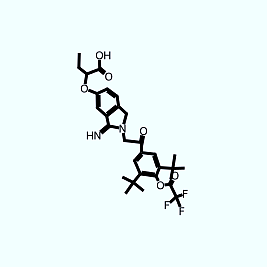 CCC(Oc1ccc2c(c1)C(=N)N(CC(=O)c1cc(C(C)(C)C)c(OC(=O)C(F)(F)F)c(C(C)(C)C)c1)C2)C(=O)O